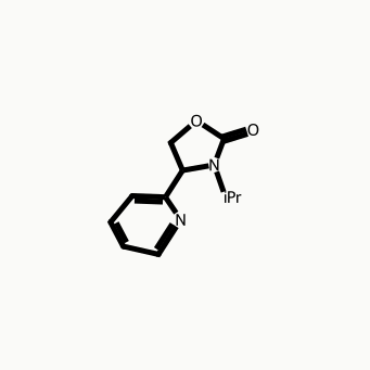 CC(C)N1C(=O)OCC1c1ccccn1